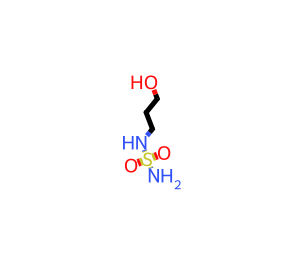 NS(=O)(=O)NCCCO